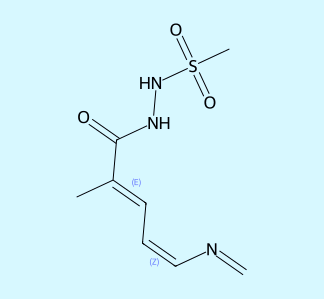 C=N/C=C\C=C(/C)C(=O)NNS(C)(=O)=O